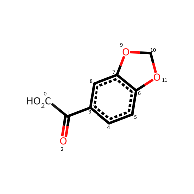 O=C(O)C(=O)c1ccc2c(c1)OCO2